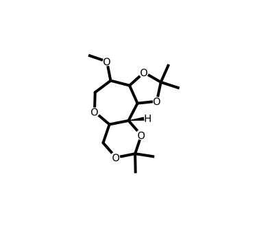 COC1COC2COC(C)(C)O[C@H]2C2OC(C)(C)OC12